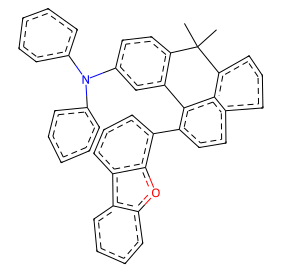 CC1(C)c2ccc(N(c3ccccc3)c3ccccc3)cc2-c2c(-c3cccc4c3oc3ccccc34)ccc3cccc1c23